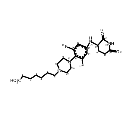 O=C(O)CCCCCCN1CCN(c2c(F)cc(NC3CCC(=O)NC3=O)cc2F)CC1